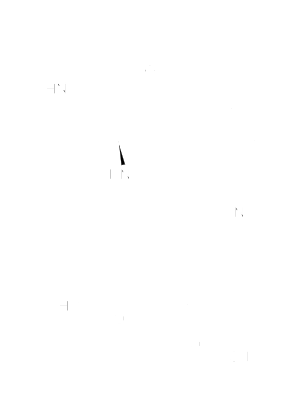 COc1cc2nc3c(c(N[C@H]4CNCCOC4)c2cc1OC)CCC3